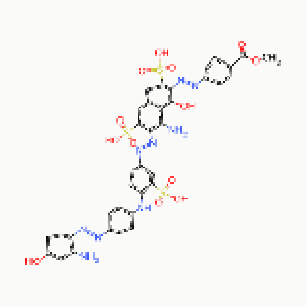 COC(=O)c1ccc(N=Nc2c(S(=O)(=O)O)cc3cc(S(=O)(=O)O)c(N=Nc4ccc(Nc5ccc(N=Nc6ccc(O)cc6N)cc5)c(S(=O)(=O)O)c4)c(N)c3c2O)cc1